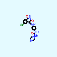 CN1CCN(NC(=O)Nc2ccc(N/C=C3\C(=O)NC(=O)c4ccc(Br)cc43)cc2)CC1